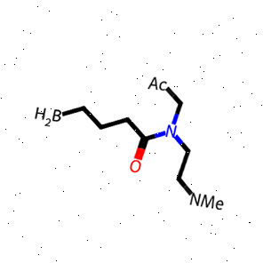 BCCCC(=O)N(CCNC)CC(C)=O